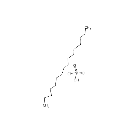 CCCCCCCCCCCCCCCC.O=S(=O)(O)Cl